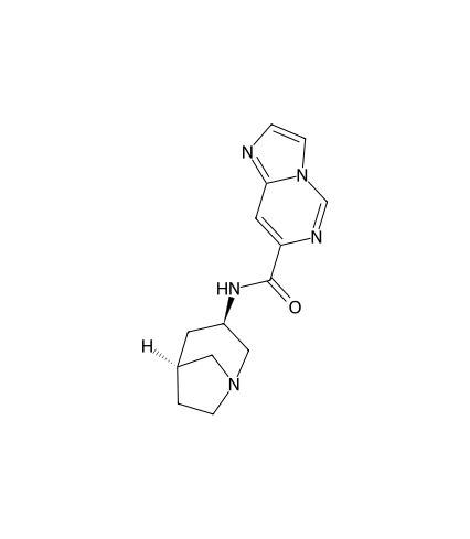 O=C(N[C@@H]1C[C@@H]2CCN(C2)C1)c1cc2nccn2cn1